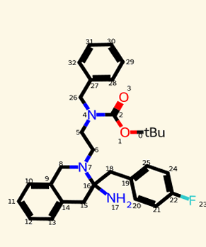 CC(C)(C)OC(=O)N(CCN1Cc2ccccc2CC1(N)Cc1ccc(F)cc1)Cc1ccccc1